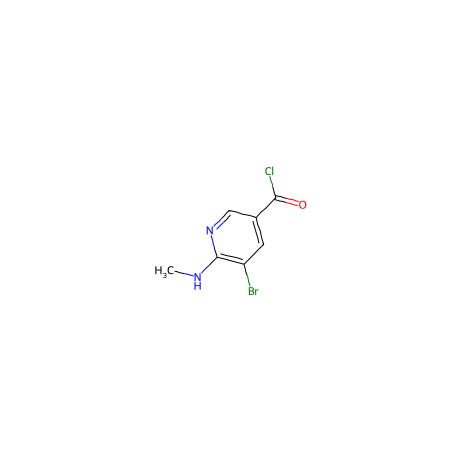 CNc1ncc(C(=O)Cl)cc1Br